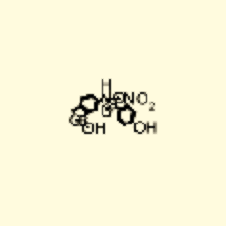 O=[N+]([O-])c1cc(O)ccc1S(=O)(=O)Nc1ccc2c(c1)B(O)OC2